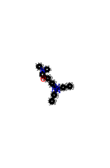 C1=CC2C(c3ccccc3N2c2ccccc2)c2c1oc1cc(-c3ccc(-c4nc(-c5ccc(-c6ccccc6)cc5)nc(-c5ccc(-c6ccccc6)cc5)n4)cc3)ccc21